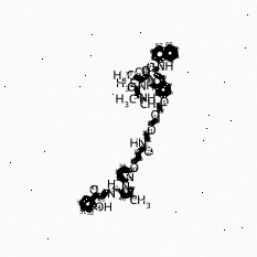 CN[C@@H](C)C(=O)N[C@H](C(=O)N1Cc2cc(OCCOCCOCCNC(=O)CCCOc3cccc(N4C[C@@H](C)C[C@@H]4CN/C=C/C(=O)c4ccccc4O)n3)ccc2C[C@H]1C(=O)N[C@@H]1CCCc2ccccc21)C(C)(C)C